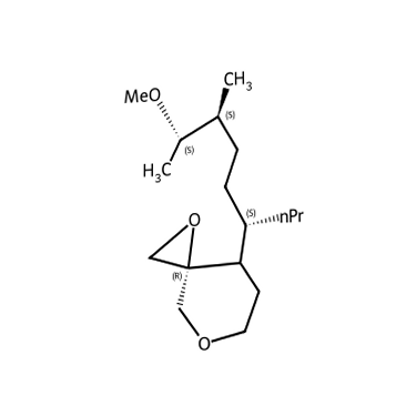 CCC[C@@H](CC[C@H](C)[C@H](C)OC)C1CCOC[C@@]12CO2